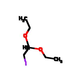 CCO[SiH](CI)OCC